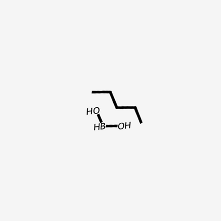 CCCCC.OBO